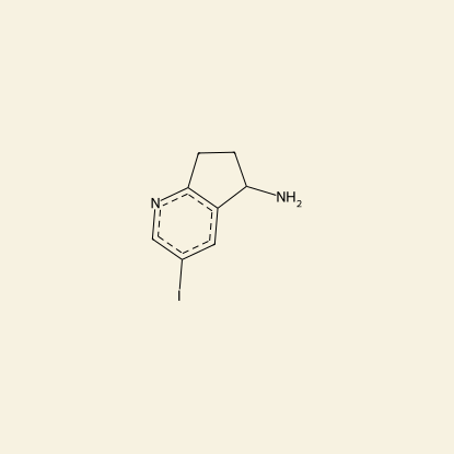 NC1CCc2ncc(I)cc21